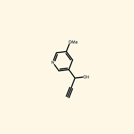 C#CC(O)c1cncc(OC)c1